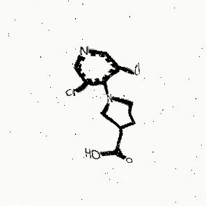 O=C(O)C1CCN(c2c(Cl)cncc2Cl)C1